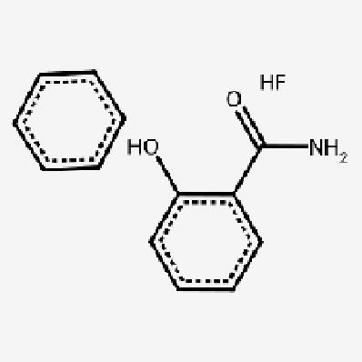 F.NC(=O)c1ccccc1O.c1ccccc1